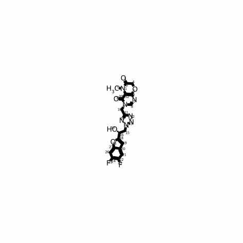 CN1C(=O)COc2ncn(Cc3nnn(C[C@H](O)c4cc5cc(F)c(F)cc5o4)n3)c(=O)c21